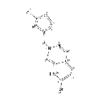 Clc1cccc(CN2C=C3NC(Br)=CC=C3C=N2)c1